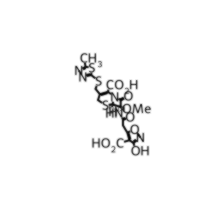 CO[C@@]1(NC(=O)Cc2onc(O)c2C(=O)O)C(=O)N2C(C(=O)O)=C(CSc3nnc(C)s3)CS[C@@H]21